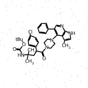 Cc1c[nH]c2ncc(-c3ccccc3)c(N3CCN(C(=O)C(CC(C)(C)NC(=O)OC(C)(C)C)c4ccc(Cl)cc4)CC3)c12